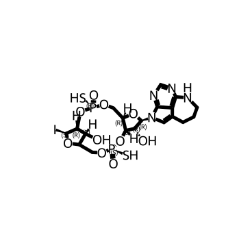 O=[P@]1(S)OCC2O[C@@H](I)[C@H](O[P@](=O)(S)OC[C@H]3O[C@@H](n4cc5c6c(ncnc64)NCCC5)[C@H](O)[C@@H]3O1)[C@@H]2O